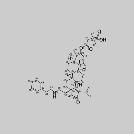 CC(C)C1=C2[C@H]3CC[C@@H]4[C@@]5(C)CC[C@H](OC(=O)CC(C)(C)C(=O)O)C(C)(C)[C@@H]5CC[C@@]4(C)[C@]3(C)CC[C@@]2(CCNCCc2ccccc2)CC1=O